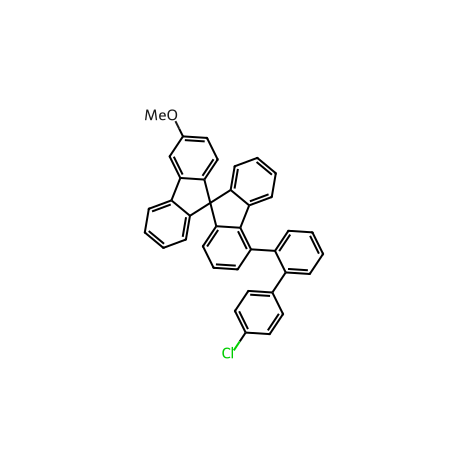 COc1ccc2c(c1)-c1ccccc1C21c2ccccc2-c2c(-c3ccccc3-c3ccc(Cl)cc3)cccc21